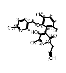 C#CCn1nc(Cl)c(O)c(-c2c(F)ccc(Cl)c2OCc2ccc(Cl)nc2)c1=O